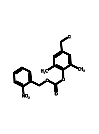 Cc1cc(CCl)cc(C)c1OC(=O)OCc1ccccc1[N+](=O)[O-]